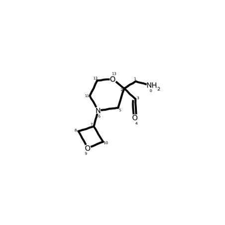 NCC1(C=O)CN(C2COC2)CCO1